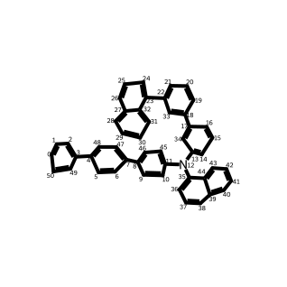 c1ccc(-c2ccc(-c3ccc(N(c4cccc(-c5cccc(-c6cccc7ccccc67)c5)c4)c4cccc5ccccc45)cc3)cc2)cc1